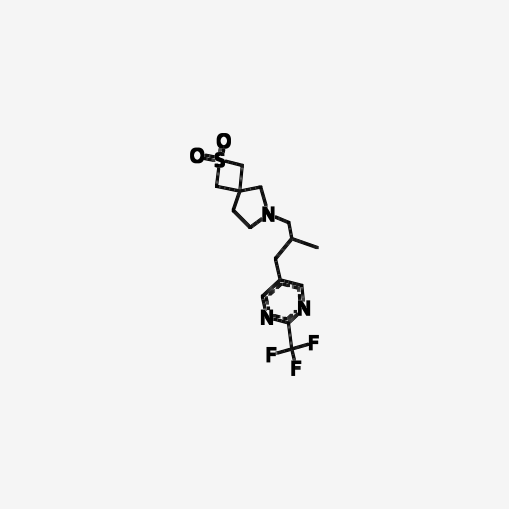 CC(Cc1cnc(C(F)(F)F)nc1)CN1CCC2(C1)CS(=O)(=O)C2